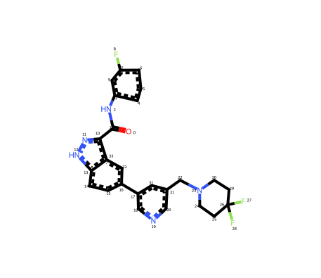 O=C(Nc1cccc(F)c1)c1n[nH]c2ccc(-c3cncc(CN4CCC(F)(F)CC4)c3)cc12